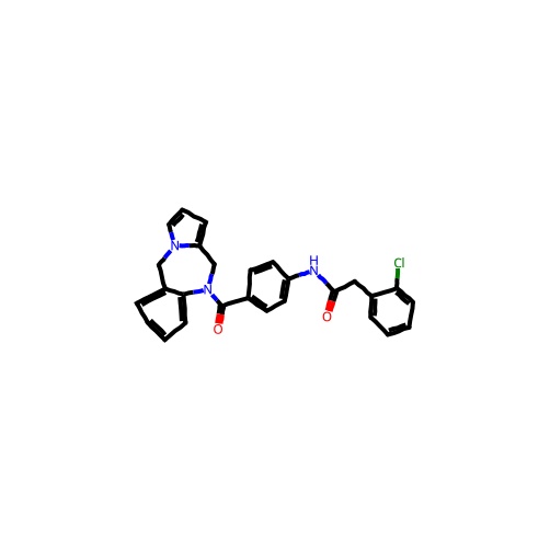 O=C(Cc1ccccc1Cl)Nc1ccc(C(=O)N2Cc3cccn3Cc3ccccc32)cc1